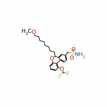 COCCCCCCCCC1Oc2cccc(OC(F)F)c2-c2ccc(CS(N)(=O)=O)cc21